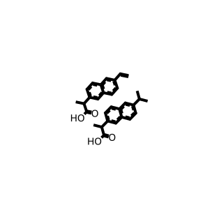 C=Cc1ccc2cc(C(C)C(=O)O)ccc2c1.CC(C)c1ccc2cc(C(C)C(=O)O)ccc2c1